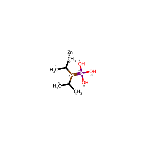 CC(C)S(C(C)C)=P(O)(O)O.[Zn]